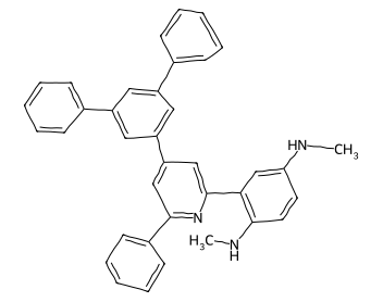 CNc1ccc(NC)c(-c2cc(-c3cc(-c4ccccc4)cc(-c4ccccc4)c3)cc(-c3ccccc3)n2)c1